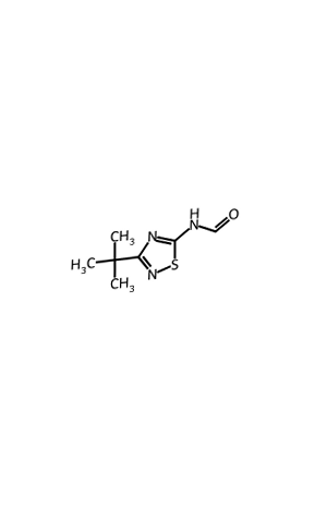 CC(C)(C)c1nsc(NC=O)n1